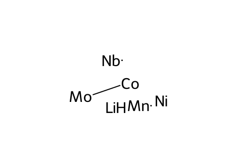 [Co][Mo].[LiH].[Mn].[Nb].[Ni]